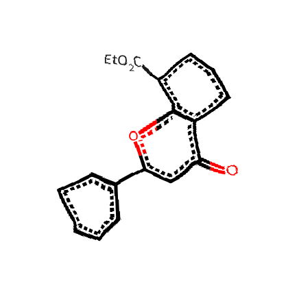 CCOC(=O)c1cccc2c(=O)cc(-c3ccccc3)oc12